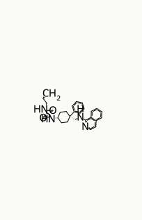 C=CCNS(=O)(=O)N[C@H]1CC[C@](CNc2nccc3ccccc23)(c2ccccc2)CC1